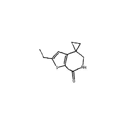 CCc1cc2c(s1)C(=O)NCC21CC1